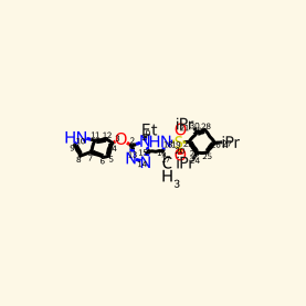 CCn1c(Oc2ccc3cc[nH]c3c2)nnc1[C@@H](C)NS(=O)(=O)c1c(C(C)C)cc(C(C)C)cc1C(C)C